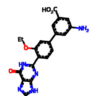 CCOc1cc(-c2cc(N)cc(C(=O)O)c2)ccc1-c1nc2[nH]cnc2c(=O)[nH]1